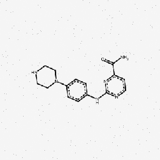 NC(=O)c1ccnc(Nc2ccc(N3CCNCC3)cc2)n1